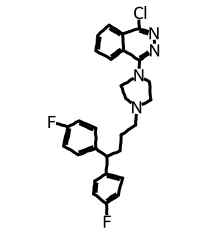 Fc1ccc(C(CCCN2CCN(c3nnc(Cl)c4ccccc34)CC2)c2ccc(F)cc2)cc1